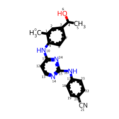 Cc1cc(C(C)O)ccc1Nc1ccnc(Nc2ccc(C#N)cc2)n1